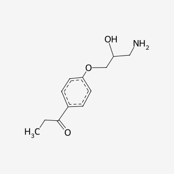 CCC(=O)c1ccc(OCC(O)CN)cc1